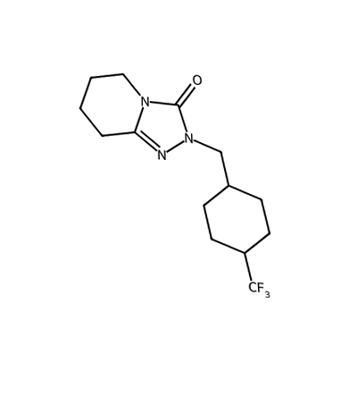 O=c1n(CC2CCC(C(F)(F)F)CC2)nc2n1CCCC2